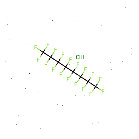 Cl.FC(F)(F)C(F)(F)C(F)(F)C(F)(F)C(F)(F)C(F)(F)C(F)(F)C(F)(F)F